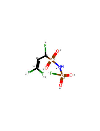 O=S(=O)(F)NS(=O)(=O)C(F)C=C(F)F